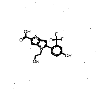 O=C(O)c1cc2c(cc(-c3ccc(O)cc3C(F)(F)F)n2CCO)s1